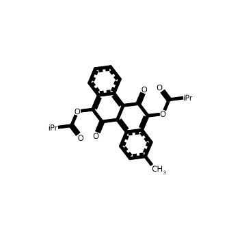 Cc1ccc2c(c1)=C(OC(=O)C(C)C)C(=O)C1=c3ccccc3=C(OC(=O)C(C)C)C(=O)C=21